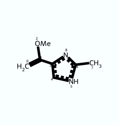 C=C(OC)c1c[nH]c(C)n1